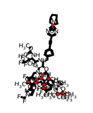 COC(=O)N[C@H](C(=O)N[C@@H](Cc1ccc(C#Cc2cnc(N3CC4CCC(C3)N4C3COC3)nc2)cc1)[C@H](CN(Cc1c(F)cc(-c2ccn(C(F)F)n2)cc1F)NC(=O)[C@@H](NC(=O)OC)C(C)(C)C(F)(F)F)OC(=O)CC(C)(C)c1c(CC(=O)OC(C)(C)C)cc(C)cc1OP(=O)(OC(C)(C)C)OC(C)(C)C)C(C)(C)C(F)(F)F